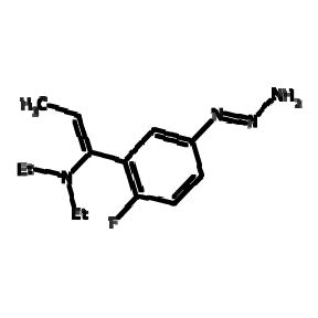 CC=C(c1cc(N=NN)ccc1F)N(CC)CC